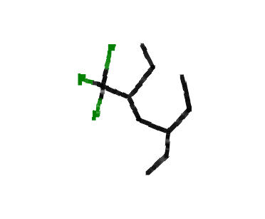 CCC(CC)CC(CC)C(F)(F)F